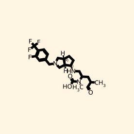 CC(C=O)CC(CN[C@@H]1CC[C@H]2CN(Cc3ccc(C(F)(F)F)c(F)c3)C[C@H]21)N(C)C(=O)O